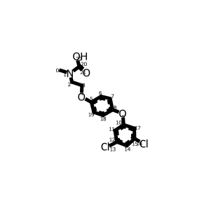 CN(CCOc1ccc(Oc2cc(Cl)cc(Cl)c2)cc1)C(=O)O